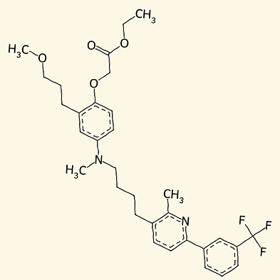 CCOC(=O)COc1ccc(N(C)CCCCc2ccc(-c3cccc(C(F)(F)F)c3)nc2C)cc1CCCOC